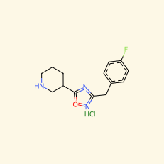 Cl.Fc1ccc(Cc2noc(C3CCCNC3)n2)cc1